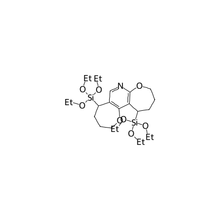 CCO[Si](OCC)(OCC)C1CCCOc2c1cnc1c2C([Si](OCC)(OCC)OCC)CCCO1